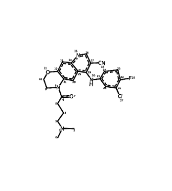 CN(C)CCCC(=O)N1CCOc2cc3ncc(C#N)c(Nc4ccc(F)c(Cl)c4)c3cc21